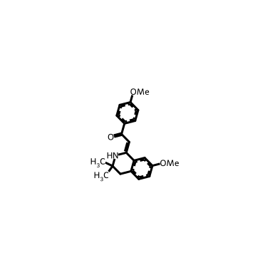 COc1ccc(C(=O)C=C2NC(C)(C)Cc3ccc(OC)cc32)cc1